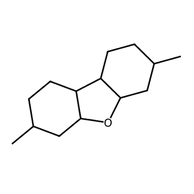 CC1CCC2C(C1)OC1CC(C)CCC12